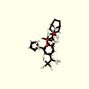 CC(C)(C)OC(=O)N1C2CCC1CN(c1nc3cc(C(O)C(F)(F)F)cc(-n4cccn4)c3o1)C2